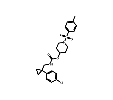 Cc1ccc(S(=O)(=O)N2CCC(OC(=O)NCC3(c4ccc(Cl)cc4)CC3)CC2)cc1